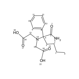 CCCCC(C(N)=O)(c1ccccc1)N(CC(=O)O)CC(=O)O